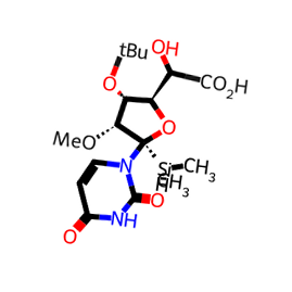 CO[C@@H]1[C@H](OC(C)(C)C)[C@@H](C(O)C(=O)O)O[C@]1(n1ccc(=O)[nH]c1=O)[SiH](C)C